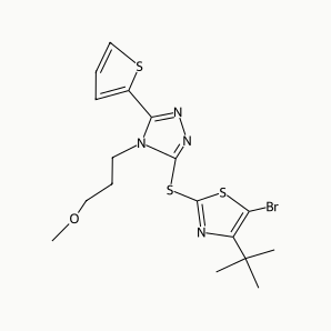 COCCCn1c(Sc2nc(C(C)(C)C)c(Br)s2)nnc1-c1cccs1